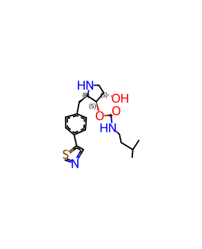 CC(C)CCNC(=O)O[C@@H]1[C@@H](O)CN[C@@H]1Cc1ccc(-c2cncs2)cc1